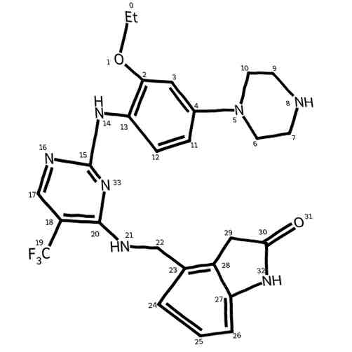 CCOc1cc(N2CCNCC2)ccc1Nc1ncc(C(F)(F)F)c(NCc2cccc3c2CC(=O)N3)n1